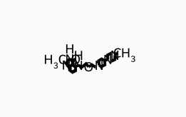 Cc1nc2cccc(NCCOCCN3CCC(N4CCN(C)CC4)CC3)c2c(=O)[nH]1